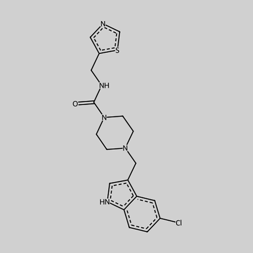 O=C(NCc1cncs1)N1CCN(Cc2c[nH]c3ccc(Cl)cc23)CC1